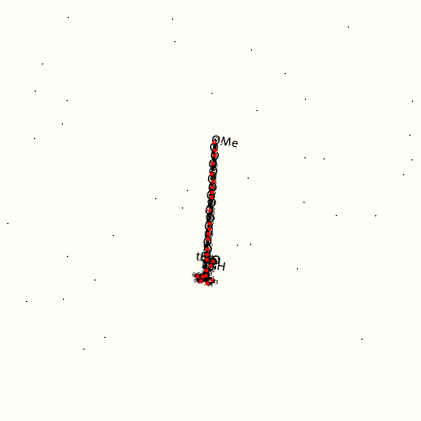 COCCOCCOCCOCCOCCOCCOCCOCCOCCOCCOCCOCCOCCOCCOCCOCCOCCCC1(CCCCNC(=O)OC(C)(C)C)c2cc(C)ccc2-c2ccc(C)cc21